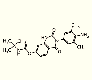 Cc1cc(-n2c(=O)[nH]c3cc(OC(=O)NC(C)(C)C)ccc3c2=O)cc(C)c1N